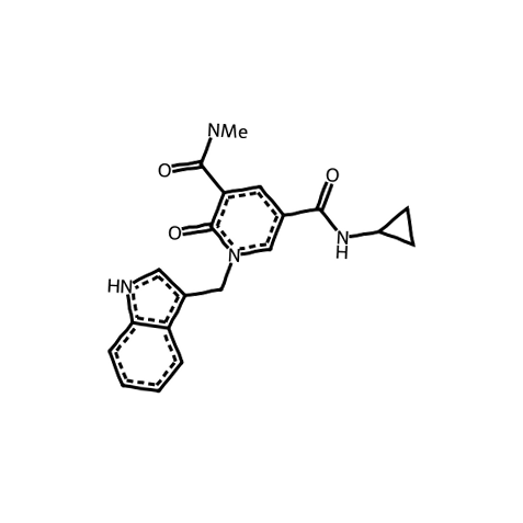 CNC(=O)c1cc(C(=O)NC2CC2)cn(Cc2c[nH]c3ccccc23)c1=O